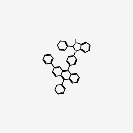 C1=CCCC(c2c3ccccc3c(-c3ccc(N4c5ccccc5NC4C4=CCCC=C4)cc3)c3cc(-c4ccccc4)ccc23)=C1